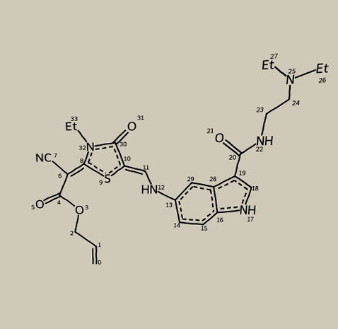 C=CCOC(=O)C(C#N)=c1sc(=CNc2ccc3[nH]cc(C(=O)NCCN(CC)CC)c3c2)c(=O)n1CC